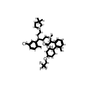 Cc1ccc(Cl)cc1[C@@H](CCN1CCC(C)(C)C1)CCN(C)C(C(=O)O)c1cccc(C)c1C1CCC(OCC(F)(F)F)CC1